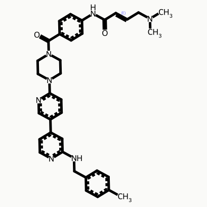 Cc1ccc(CNc2cc(-c3ccc(N4CCN(C(=O)c5ccc(NC(=O)/C=C/CN(C)C)cc5)CC4)nc3)ccn2)cc1